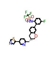 O=S(=O)(Nc1ccc(F)cc1-c1ccc2c(c1)OC[C@H](Cc1ccc(-c3cncs3)cn1)C2)C(F)(F)F